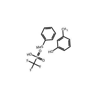 CSc1ccccc1.Cc1cccc(O)c1.O=S(=O)(O)C(F)(F)F